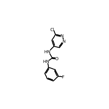 O=C(Nc1cccc(F)c1)Nc1cnnc(Cl)c1